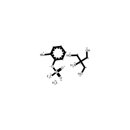 CC(C)(C)c1ccccc1OS(=O)(=O)C(F)(F)F.NC(CO)(CO)CO.S